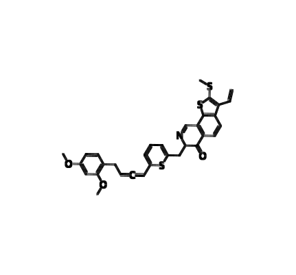 C=Cc1c(SC)sc2c3c(ccc12)C(=O)C(CC1=CC=C=C(C=C=CCc2ccc(OC)cc2OC)S1)N=C3